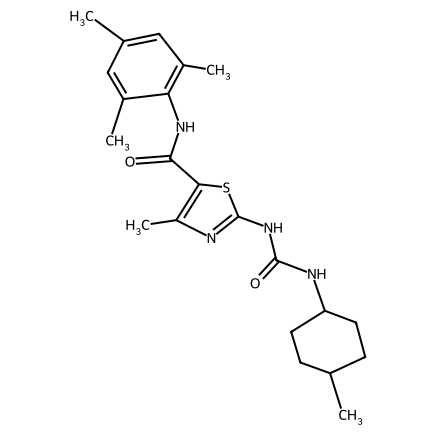 Cc1cc(C)c(NC(=O)c2sc(NC(=O)NC3CCC(C)CC3)nc2C)c(C)c1